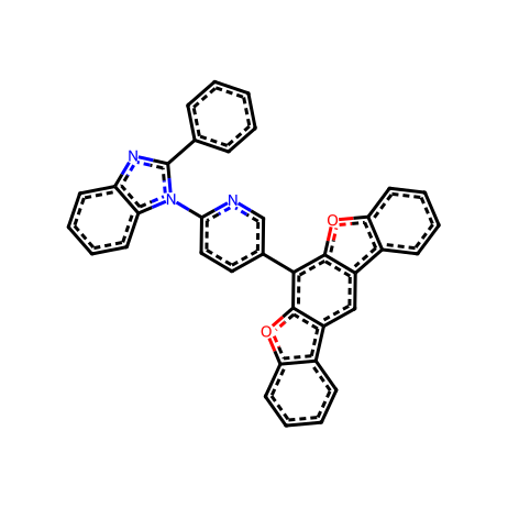 c1ccc(-c2nc3ccccc3n2-c2ccc(-c3c4oc5ccccc5c4cc4c3oc3ccccc34)cn2)cc1